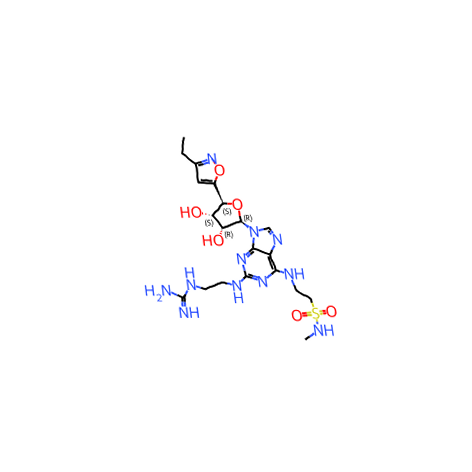 CCc1cc([C@H]2O[C@@H](n3cnc4c(NCCS(=O)(=O)NC)nc(NCCNC(=N)N)nc43)[C@H](O)[C@@H]2O)on1